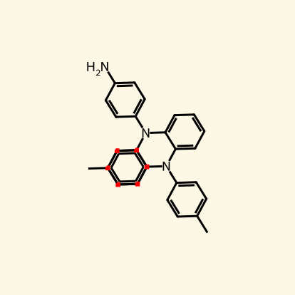 Cc1ccc(N(c2ccc(C)cc2)c2ccccc2N(c2ccccc2)c2ccc(N)cc2)cc1